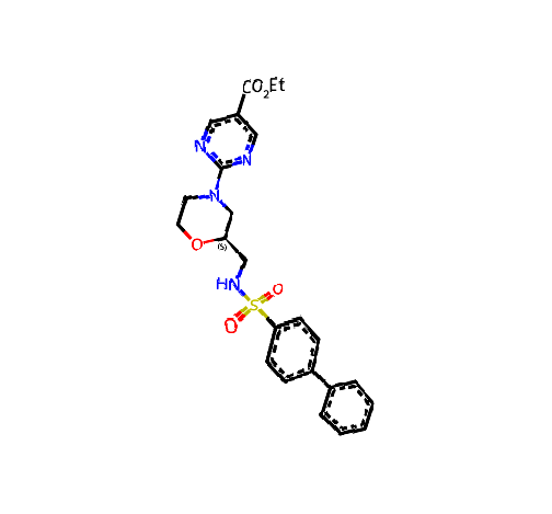 CCOC(=O)c1cnc(N2CCO[C@H](CNS(=O)(=O)c3ccc(-c4ccccc4)cc3)C2)nc1